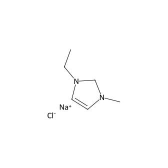 CCN1C=CN(C)C1.[Cl-].[Na+]